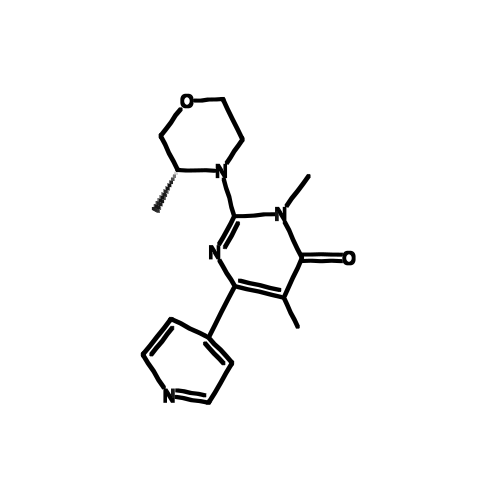 Cc1c(-c2ccncc2)nc(N2CCOC[C@H]2C)n(C)c1=O